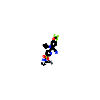 CC(C)NS(=O)(=O)c1ccc(-c2c(C#N)c3ccc(OC(F)(F)F)cc3n2C2CCC2)nc1